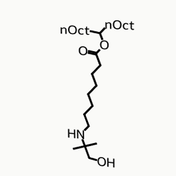 CCCCCCCCC(CCCCCCCC)OC(=O)CCCCCCCNC(C)(C)CO